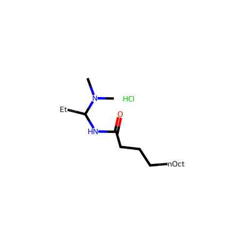 CCCCCCCCCCCC(=O)NC(CC)N(C)C.Cl